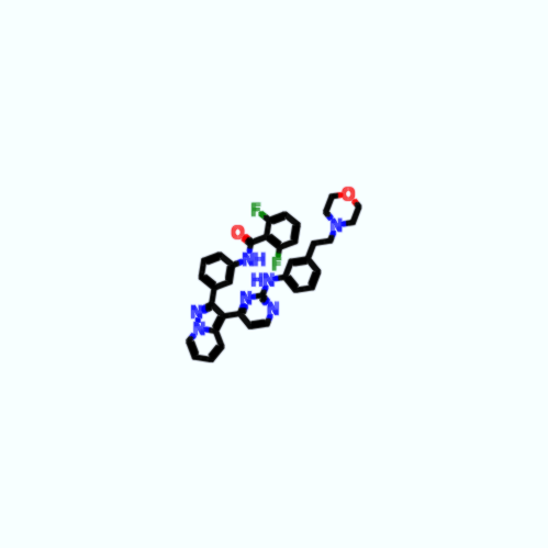 O=C(Nc1cccc(-c2nn3ccccc3c2-c2ccnc(Nc3cccc(CCN4CCOCC4)c3)n2)c1)c1c(F)cccc1F